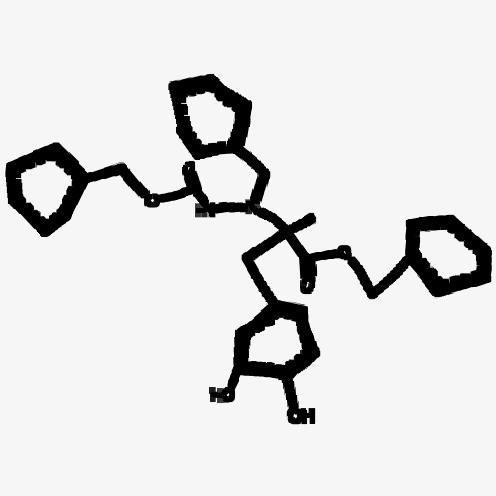 CC(Cc1ccc(O)c(O)c1)(C(=O)OCc1ccccc1)N(Cc1ccccc1)NC(=O)OCc1ccccc1